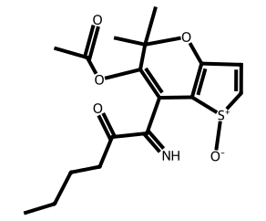 CCCCC(=O)C(=N)C1=C(OC(C)=O)C(C)(C)Oc2cc[s+]([O-])c21